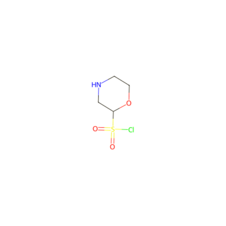 O=S(=O)(Cl)C1CNCCO1